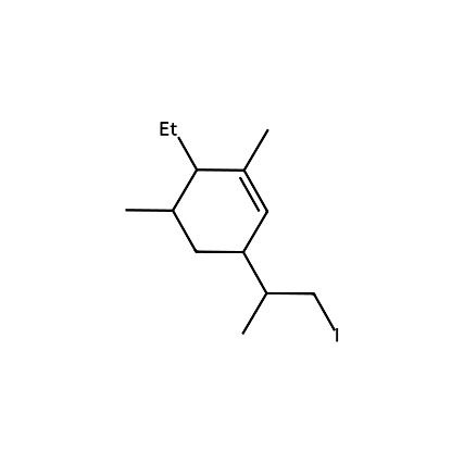 CCC1C(C)=CC(C(C)CI)CC1C